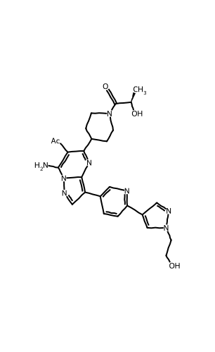 CC(=O)c1c(C2CCN(C(=O)[C@@H](C)O)CC2)nc2c(-c3ccc(-c4cnn(CCO)c4)nc3)cnn2c1N